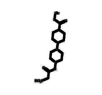 CCOC(=O)CC(=O)ON1CCN(N2CCC(C(=O)OC(C)(C)C)CC2)CC1